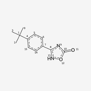 CC(C)(C)c1ccc(-c2nc(=O)o[nH]2)cc1